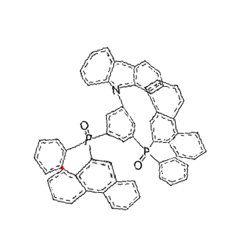 O=P(c1ccccc1)(c1cc(-n2c3ccccc3c3ccccc32)cc(P(=O)(c2ccccc2)c2cc3ccccc3c3ccccc23)c1)c1cc2ccccc2c2ccccc12